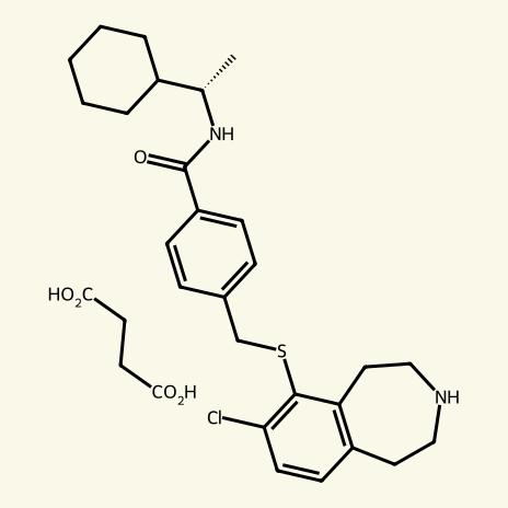 C[C@H](NC(=O)c1ccc(CSc2c(Cl)ccc3c2CCNCC3)cc1)C1CCCCC1.O=C(O)CCC(=O)O